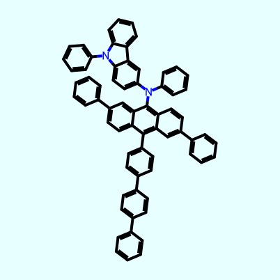 c1ccc(-c2ccc(-c3ccc(-c4c5cc(-c6ccccc6)ccc5c(N(c5ccccc5)c5ccc6c(c5)c5ccccc5n6-c5ccccc5)c5cc(-c6ccccc6)ccc45)cc3)cc2)cc1